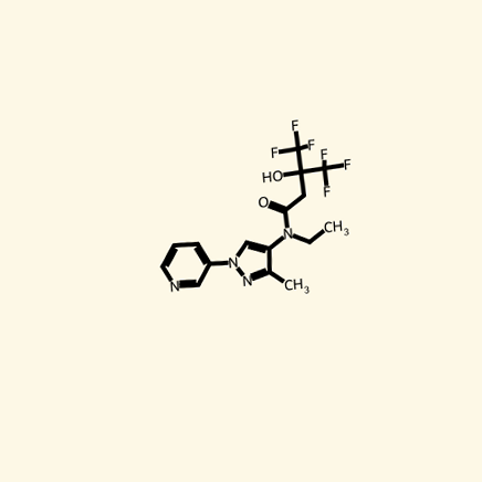 CCN(C(=O)CC(O)(C(F)(F)F)C(F)(F)F)c1cn(-c2cccnc2)nc1C